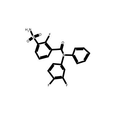 NS(=O)(=O)c1cccc(C(=O)N(c2ccccc2)c2ccc(F)c(F)c2)c1F